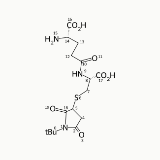 CC(C)(C)N1C(=O)CC(SC[C@H](NC(=O)CC[C@H](N)C(=O)O)C(=O)O)C1=O